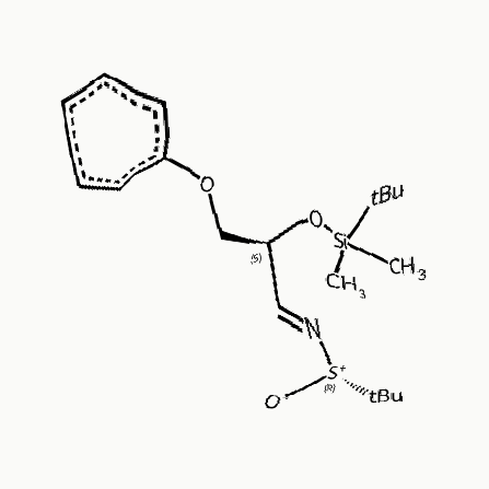 CC(C)(C)[S@+]([O-])N=C[C@@H](COc1ccccc1)O[Si](C)(C)C(C)(C)C